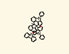 CC12c3cccc4c(-n5c6ccccc6c6ccccc65)ccc(c34)C1(c1cccc3c1C1C=CC=C1N3c1ccccc1)c1cccc3c1c1c2cccc1n3-c1ccccc1